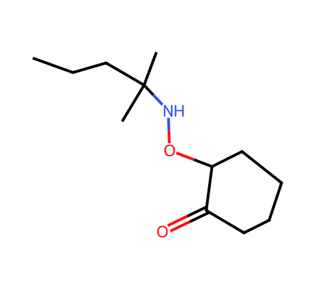 CCCC(C)(C)NOC1CCCCC1=O